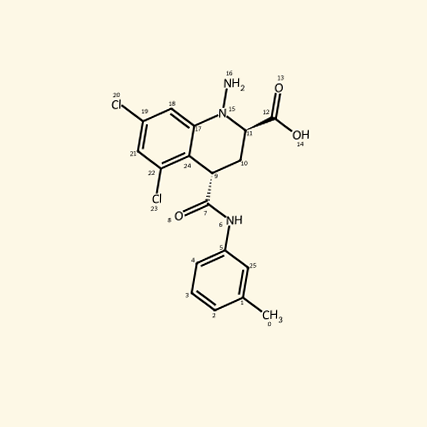 Cc1cccc(NC(=O)[C@H]2C[C@H](C(=O)O)N(N)c3cc(Cl)cc(Cl)c32)c1